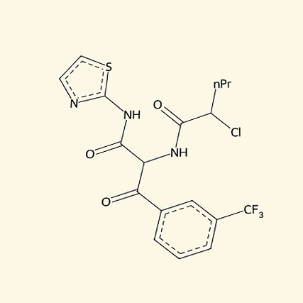 CCCC(Cl)C(=O)NC(C(=O)Nc1nccs1)C(=O)c1cccc(C(F)(F)F)c1